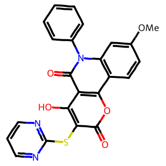 COc1ccc2c3oc(=O)c(Sc4ncccn4)c(O)c3c(=O)n(-c3ccccc3)c2c1